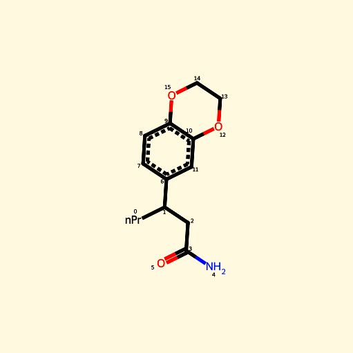 CCCC(CC(N)=O)c1ccc2c(c1)OCCO2